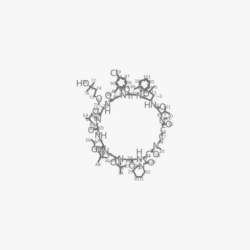 CC[C@H](C)[C@@H]1NC(=O)C(C(C)C)N(C)C(=O)CCCN(C)C(=O)C[C@@H](C(=O)N2CCCCC2)NC(=O)[C@H](CC(C)C)N(C)C(=O)[C@H](CC(C)C)N(C)C(=O)[C@H](C(C)O)NC(=O)[C@H](CC(C)C)N(C)C(=O)[C@H](COCCC(C)(C)O)NC(=O)[C@H](Cc2cccc(Cl)c2)N(C)C(=O)[C@H](Cc2ccccc2)N(C)C1=O